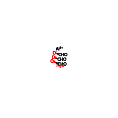 O.O=C[O-].O=C[O-].O=C[O-].[Al+3]